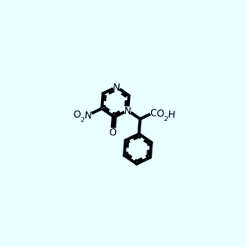 O=C(O)C(c1ccccc1)n1cncc([N+](=O)[O-])c1=O